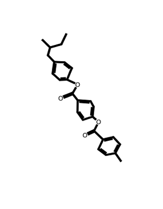 CCC(C)Cc1ccc(OC(=O)c2ccc(OC(=O)c3ccc(C)cc3)cc2)cc1